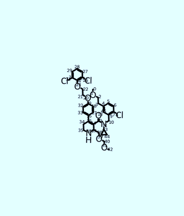 COCCc1ccc(Cl)c(CN(C(=O)C2=C(c3ccc(OCCOc4c(Cl)cccc4Cl)cc3)CCNC2COCOC)C2CC2)c1